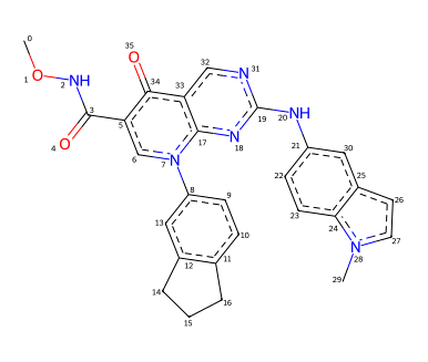 CONC(=O)c1cn(-c2ccc3c(c2)CCC3)c2nc(Nc3ccc4c(ccn4C)c3)ncc2c1=O